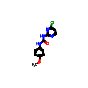 O=C(Nc1ccc(OC(F)(F)F)cc1)Nc1nccc(Cl)n1